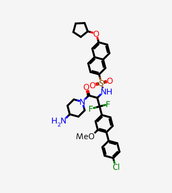 COc1cc(C(F)(F)C(NS(=O)(=O)c2ccc3cc(OC4CCCC4)ccc3c2)C(=O)N2CCC(N)CC2)ccc1-c1ccc(Cl)cc1